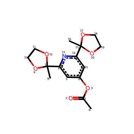 CC(=O)Oc1cc(C2(C)OCCO2)nc(C2(C)OCCO2)c1